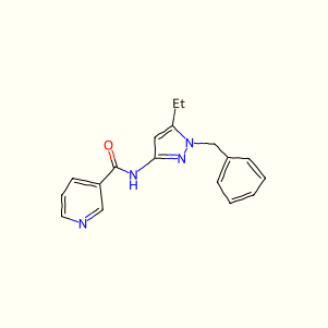 CCc1cc(NC(=O)c2cccnc2)nn1Cc1ccccc1